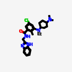 CCN(c1cc(Cl)cc(C(=O)NCc2nc3ccccc3[nH]2)c1C)C1CCC(N(C)C)CC1